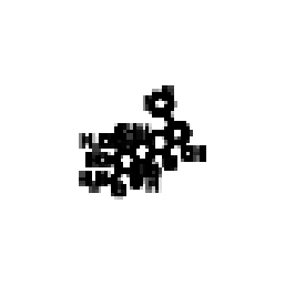 CN(C)[C@H]1C(O)=C(C(N)=O)C(=O)[C@]2(O)C(O)=C3C(=O)c4c(O)ccc(-c5cncnc5)c4C[C@@H]3C[C@H]12